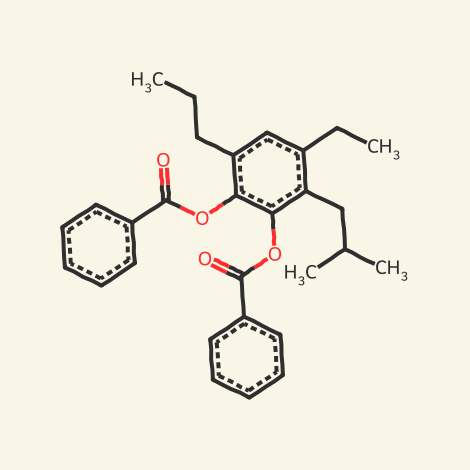 CCCc1cc(CC)c(CC(C)C)c(OC(=O)c2ccccc2)c1OC(=O)c1ccccc1